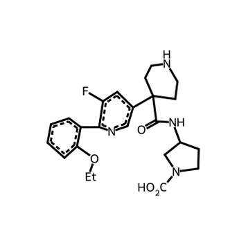 CCOc1ccccc1-c1ncc(C2(C(=O)NC3CCN(C(=O)O)C3)CCNCC2)cc1F